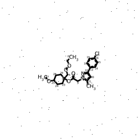 CCOOCC1(OC(=O)Cn2nc(-c3ccc(Cl)cc3)cc2C)CCC(OC)CC1